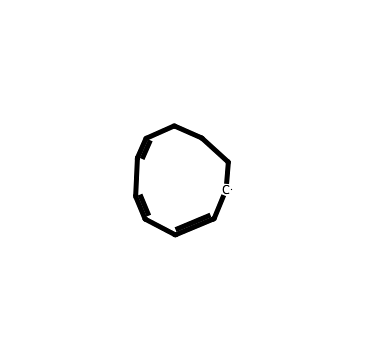 [CH]1\C=C/C=C\C=C/CCC1